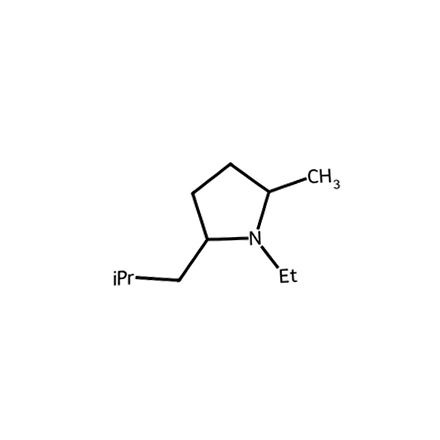 CCN1C(C)CCC1CC(C)C